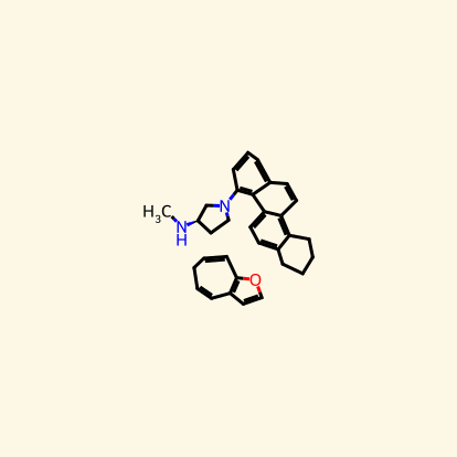 C1=Cc2ccoc2C=CC1.CN[C@@H]1CCN(c2cccc3ccc4c5c(ccc4c23)CCCC5)C1